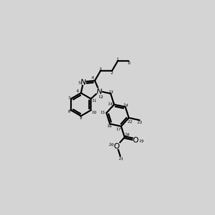 CCCCc1nc2ccccc2n1Cc1ccc(C(=O)OC)c(C)c1